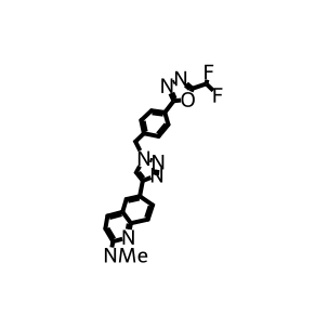 CNc1ccc2cc(-c3cn(Cc4ccc(-c5nnc(C(F)F)o5)cc4)nn3)ccc2n1